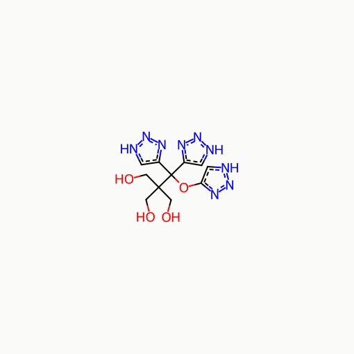 OCC(CO)(CO)C(Oc1c[nH]nn1)(c1c[nH]nn1)c1c[nH]nn1